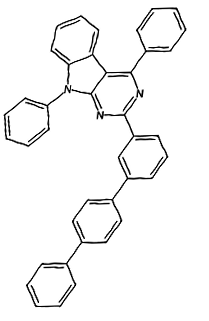 c1ccc(-c2ccc(-c3cccc(-c4nc(-c5ccccc5)c5c6ccccc6n(-c6ccccc6)c5n4)c3)cc2)cc1